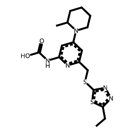 CCc1nnc(SCc2cc(N3CCCCC3C)cc(NC(=O)O)n2)s1